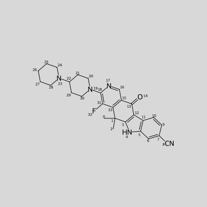 CC1(C)c2[nH]c3cc(C#N)ccc3c2C(=O)c2cnc(N3CCC(N4CCCCC4)CC3)c(F)c21